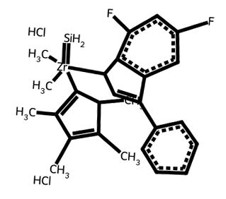 CC1=C(C)C(C)[C]([Zr]([CH3])([CH3])(=[SiH2])[CH]2C=C(c3ccccc3)c3cc(F)cc(F)c32)=C1C.Cl.Cl